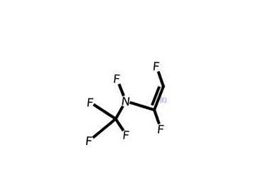 F/C=C(/F)N(F)C(F)(F)F